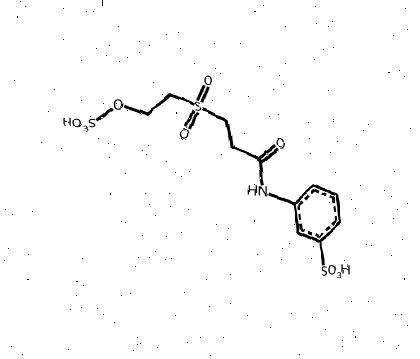 O=C(CCS(=O)(=O)CCOS(=O)(=O)O)Nc1cccc(S(=O)(=O)O)c1